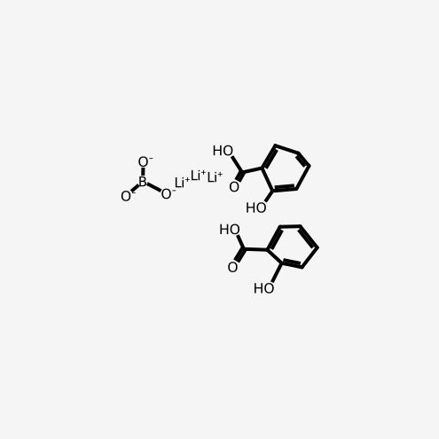 O=C(O)c1ccccc1O.O=C(O)c1ccccc1O.[Li+].[Li+].[Li+].[O-]B([O-])[O-]